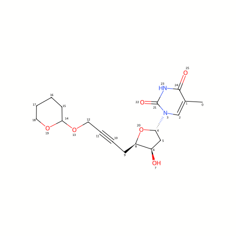 Cc1cn([C@@H]2C[C@@H](O)[C@@H](CC#CCOC3CCCCO3)O2)c(=O)[nH]c1=O